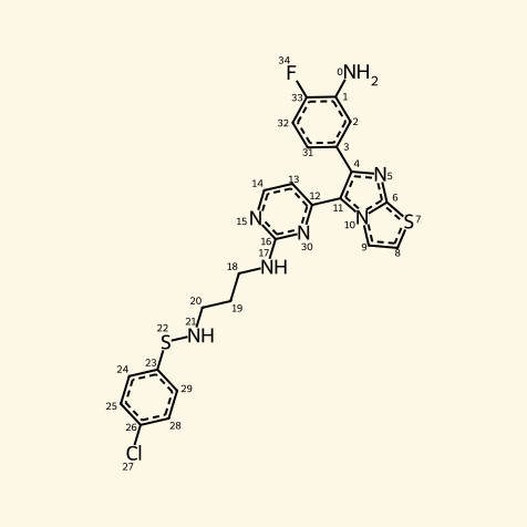 Nc1cc(-c2nc3sccn3c2-c2ccnc(NCCCNSc3ccc(Cl)cc3)n2)ccc1F